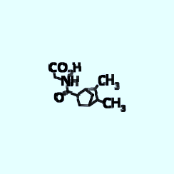 CC1C2CC(C(=O)NCC(=O)O)C(C2)C1C